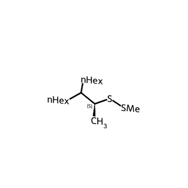 CCCCCCC(CCCCCC)[C@H](C)SSC